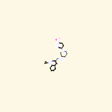 O=c1c(CN[C@H]2CCCN(c3ccc([N+](=O)[O-])nc3)C2)cn(C2CC2)c2cc(F)c(F)cc12